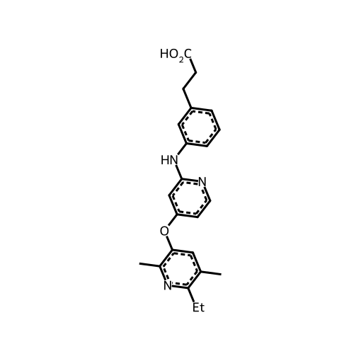 CCc1nc(C)c(Oc2ccnc(Nc3cccc(CCC(=O)O)c3)c2)cc1C